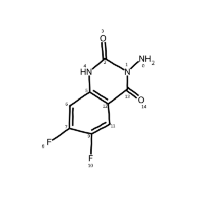 Nn1c(=O)[nH]c2cc(F)c(F)cc2c1=O